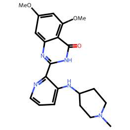 COc1cc(OC)c2c(=O)[nH]c(-c3ncccc3NC3CCN(C)CC3)nc2c1